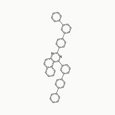 c1ccc(-c2ccc(-c3cccc(-c4nc(-c5ccc(-c6cccc(-c7ccccc7)c6)cc5)nc5ccc6ccccc6c45)c3)cc2)cc1